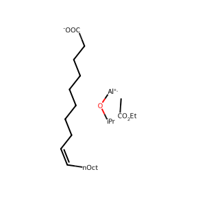 CC(C)[O][Al+].CCCCCCCC/C=C\CCCCCCCC(=O)[O-].CCOC(C)=O